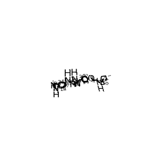 C[S+]([O-])NCCOc1ccc(-c2nnc(Nc3ccc4[nH]ncc4c3)[nH]2)cc1